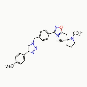 COc1ccc(-c2cn(Cc3ccc(-c4noc(CC5(C(C)(C)C)CCCN5C(=O)O)n4)cc3)nn2)cc1